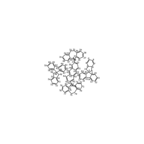 C1=CC2CC3(CC2C=C1)c1ccccc1-c1ccc(-c2c4ccc(N5c6ccccc6CCc6ccccc65)cc4c(-c4ccc5c(c4)C4(Cc6ccccc6C4)c4ccccc4-5)c4ccc(N5C6=C(CCC=C6)CCc6ccccc65)cc24)cc13